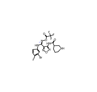 O=C(Nc1nonc1/C(=N\OC(=O)C(F)(F)F)Nc1ccc(F)c(Br)c1)C1CCCNC1